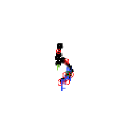 O=C1CCC(n2ncc(Oc3ccc(CCCCOc4ccc(C5c6ccc(OCc7ccccc7)cc6CCC5c5ccc(F)cc5)cc4)nc3)c(Cl)c2=O)C(=O)N1